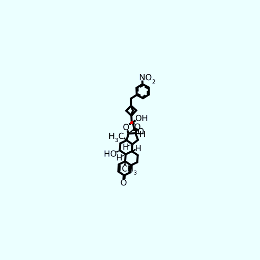 C[C@]12C=CC(=O)C=C1CC[C@@H]1[C@@H]2[C@@H](O)C[C@@]2(C)[C@H]1C[C@H]1OC(C34CC(Cc5cccc([N+](=O)[O-])c5)(C3)C4)O[C@]12C(=O)CO